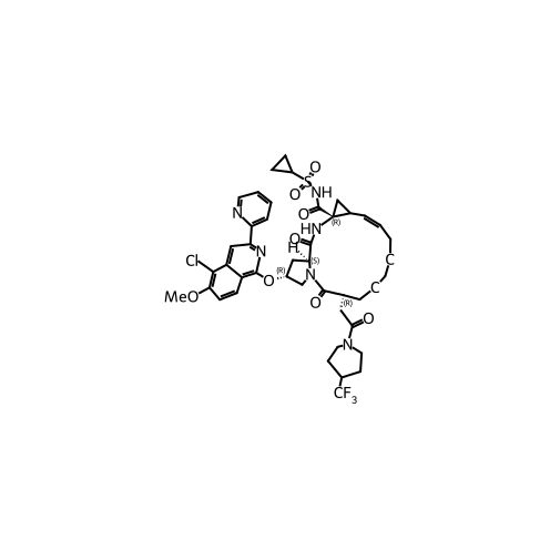 COc1ccc2c(O[C@@H]3C[C@H]4C(=O)N[C@]5(C(=O)NS(=O)(=O)C6CC6)CC5C=CCCCCC[C@H](CC(=O)N5CCC(C(F)(F)F)CC5)C(=O)N4C3)nc(-c3ccccn3)cc2c1Cl